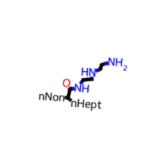 CCCCCCCCCC(CCCCCCC)C(=O)NCCNCCN